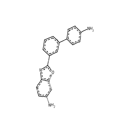 Nc1ccc(-c2cccc(-c3nc4ccc(N)cc4o3)c2)cc1